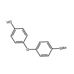 CSc1ccc(Oc2ccc(O)cc2)cc1